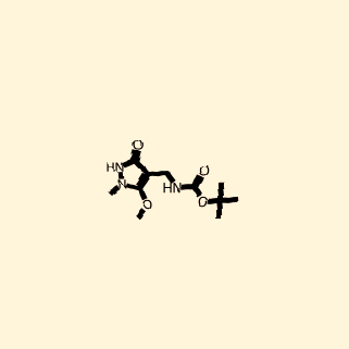 COc1c(CNC(=O)OC(C)(C)C)c(=O)[nH]n1C